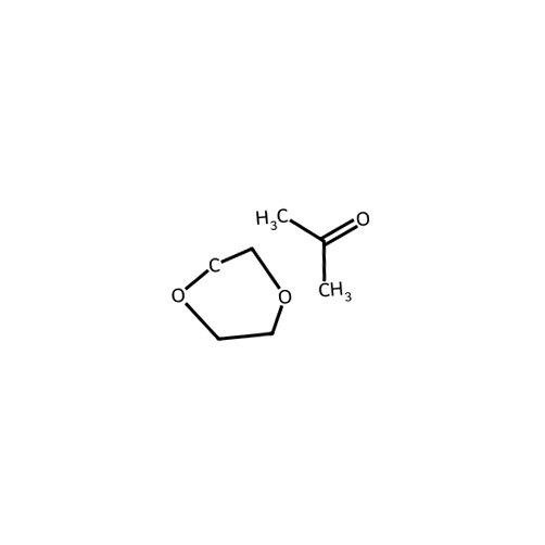 C1COCCO1.CC(C)=O